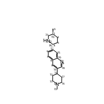 C[C@H]1CC[C@H](c2ccc3cc(C4CCN(C)CC4)cnc3c2)NC1